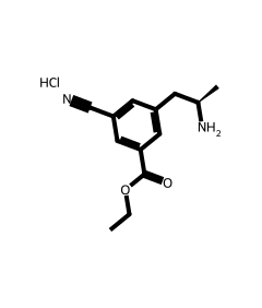 CCOC(=O)c1cc(C#N)cc(C[C@@H](C)N)c1.Cl